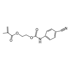 C=C(C)C(=O)OCCOC(=O)Nc1ccc(C#N)cc1